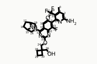 Cc1cc(N)nc(-c2c(Cl)cc3c(N4CC5CCC(C4)N5)nc(OCC4(CO)CCC4)nc3c2F)c1C(F)(F)F